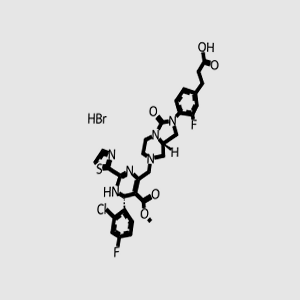 Br.COC(=O)C1=C(CN2CCN3C(=O)N(c4ccc(CCC(=O)O)cc4F)C[C@@H]3C2)N=C(c2nccs2)N[C@H]1c1ccc(F)cc1Cl